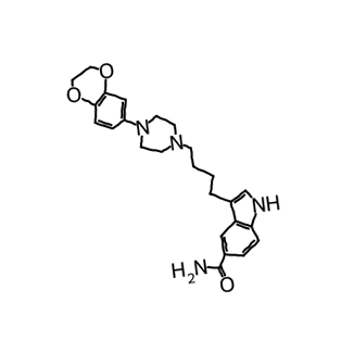 NC(=O)c1ccc2[nH]cc(CCCCN3CCN(c4ccc5c(c4)OCCO5)CC3)c2c1